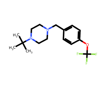 CC(C)(C)N1CCN(Cc2ccc(OC(F)(F)F)cc2)CC1